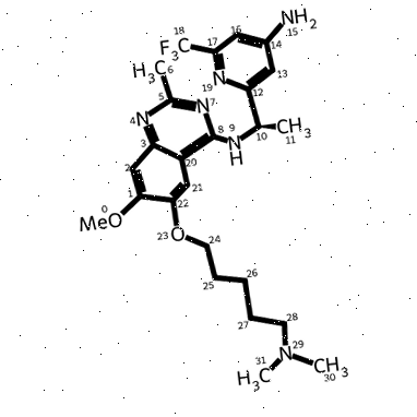 COc1cc2nc(C)nc(N[C@H](C)c3cc(N)cc(C(F)(F)F)n3)c2cc1OCCCCCN(C)C